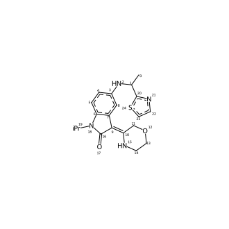 CC(Nc1ccc2c(c1)/C(=C1\COCCN1)C(=O)N2C(C)C)c1nccs1